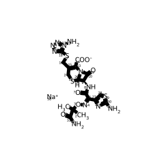 CC(C)(O/N=C(\C(=O)N[C@@H]1C(=O)N2C(C(=O)[O-])=C(CSc3nnnn3N)CS[C@@H]12)c1csc(N)n1)C(N)=O.[Na+]